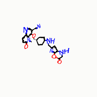 Cn1c(=O)ccc2ncc(C#N)c(OC[C@H]3CC[C@H](NCc4ccc5c(n4)OC(=O)CN5)CC3)c21